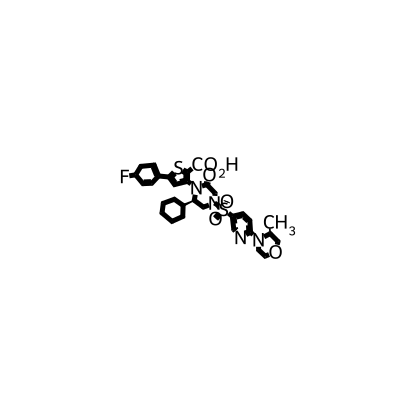 C[C@@H]1COCCN1c1ccc(S(=O)(=O)N2CC(=O)N(c3cc(C4=CCC(F)C=C4)sc3C(=O)O)[C@H](C3CCCCC3)C2)cn1